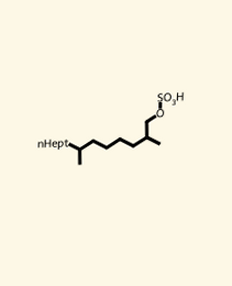 CCCCCCCC(C)CCCCC(C)COS(=O)(=O)O